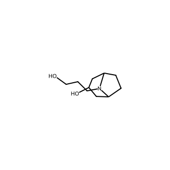 OCCCN1C2CCC1CC(O)C2